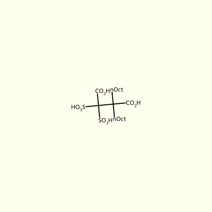 CCCCCCCCC(CCCCCCCC)(C(=O)O)C(C(=O)O)(S(=O)(=O)O)S(=O)(=O)O